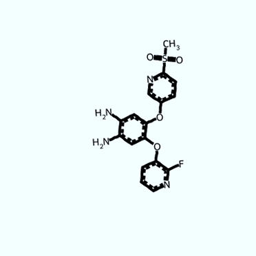 CS(=O)(=O)c1ccc(Oc2cc(N)c(N)cc2Oc2cccnc2F)cn1